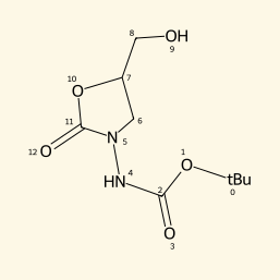 CC(C)(C)OC(=O)NN1CC(CO)OC1=O